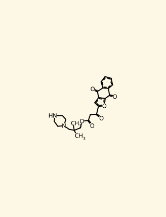 CC(C)(COC(=O)CC(=O)c1cc2c(o1)C(=O)c1ccccc1C2=O)CN1CCNCC1